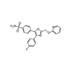 NS(=O)(=O)c1ccc(-c2oc(COc3ccccn3)nc2-c2ccc(F)cc2)cc1